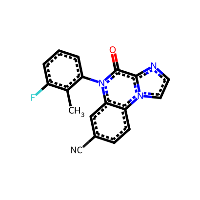 Cc1c(F)cccc1-n1c(=O)c2nccn2c2ccc(C#N)cc21